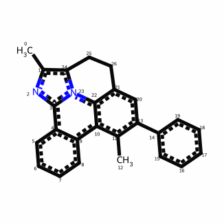 Cc1nc2c3ccccc3c3c(C)c(-c4ccccc4)cc4c3n2c1CC4